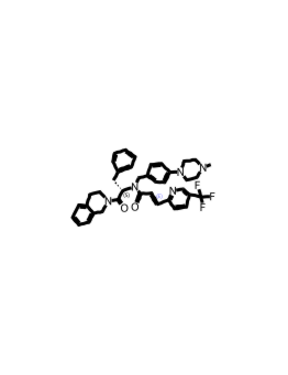 CN1CCN(c2ccc(CN(C(=O)/C=C/c3ccc(C(F)(F)F)cn3)[C@@H](Cc3ccccc3)C(=O)N3CCc4ccccc4C3)cc2)CC1